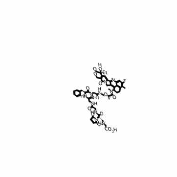 CC[C@@]1(O)C(=O)OCc2c1cc1n(c2=O)Cc2c-1nc1cc(F)c(C)c3c1c2[C@@H](N(C)C(=O)[C@@H](C)OCNC(=O)CNC(=O)[C@H](Cc1ccccc1)NC(=O)CNC(=O)CNC(=O)[C@H](CNCC(=O)O)N1C(=O)C=CC1=O)CC3